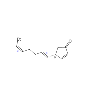 CC/C=C\CC/C=C/[C@H]1C=CC(=O)C1